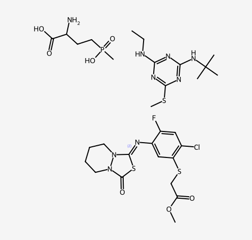 CCNc1nc(NC(C)(C)C)nc(SC)n1.COC(=O)CSc1cc(/N=c2\sc(=O)n3n2CCCC3)c(F)cc1Cl.CP(=O)(O)CCC(N)C(=O)O